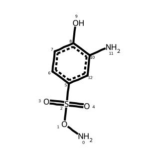 NOS(=O)(=O)c1ccc(O)c(N)c1